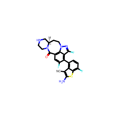 N#Cc1c(N)sc2c(F)ccc(-c3c(F)cc4c5c3c(F)nn5CC[C@@H]3CNCCN3C4=O)c12